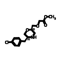 COC(=O)COC[C@H]1CN[C@@H](Cc2ccc(Cl)cc2)CO1